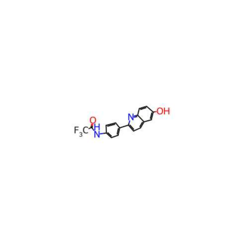 O=C(Nc1ccc(-c2ccc3cc(O)ccc3n2)cc1)C(F)(F)F